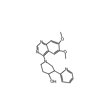 COc1cc2ncnc(N3CCC(O)C(c4ccccn4)C3)c2cc1OC